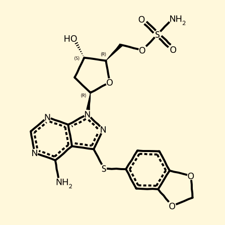 Nc1ncnc2c1c(Sc1ccc3c(c1)OCO3)nn2[C@H]1C[C@H](O)[C@@H](COS(N)(=O)=O)O1